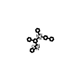 c1ccc(-c2ccc(-c3nc(-c4ccccc4)nc(-c4cc(-c5ccccc5)cc(-c5ncnc6c5oc5ccccc56)c4)n3)cc2)cc1